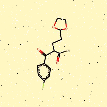 CC(C)C(=O)C(CCC1OCCO1)C(=O)c1ccc(F)cc1